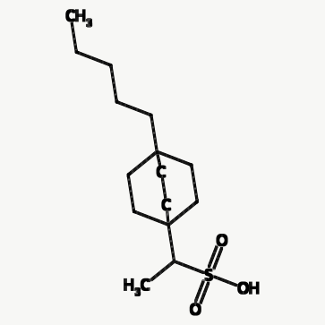 CCCCCC12CCC(C(C)S(=O)(=O)O)(CC1)CC2